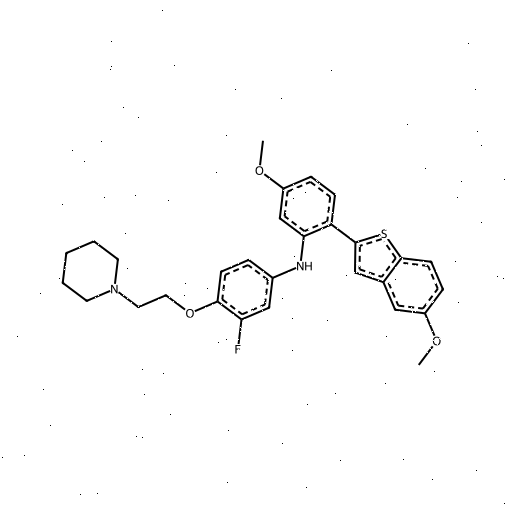 COc1ccc(-c2cc3cc(OC)ccc3s2)c(Nc2ccc(OCCN3CCCCC3)c(F)c2)c1